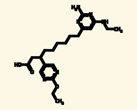 CCNc1cc(CCCCCCC(CC(=O)O)c2cnc(OCC)nc2)nc(N)n1